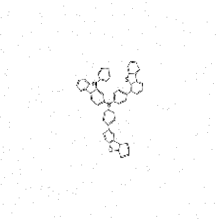 C1=CC2Oc3ccc(C4=CCC(N(c5ccc(-c6cccc7c6sc6ccccc67)cc5)c5ccc6c7ccccc7n(-c7ccccc7)c6c5)C=C4)cc3C2C=C1